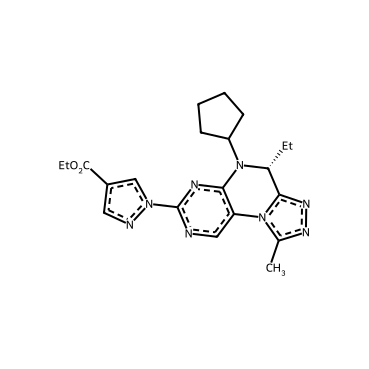 CCOC(=O)c1cnn(-c2ncc3c(n2)N(C2CCCC2)[C@H](CC)c2nnc(C)n2-3)c1